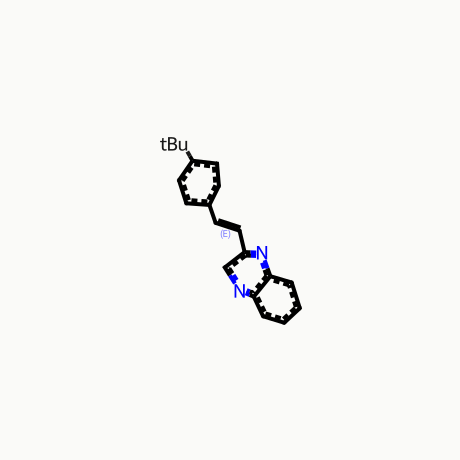 CC(C)(C)c1ccc(/C=C/c2cnc3ccccc3n2)cc1